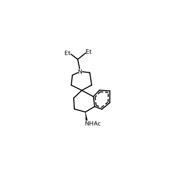 CCC(CC)N1CCC2(CC[C@H](NC(C)=O)c3ccccc32)CC1